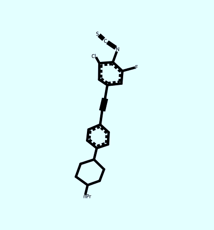 CCCC1CCC(c2ccc(C#Cc3cc(F)c(N=C=S)c(Cl)c3)cc2)CC1